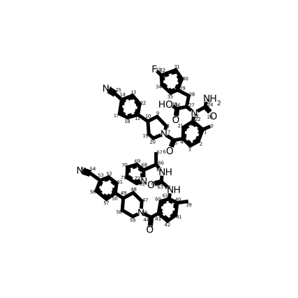 Cc1ccc(C(=O)N2CCC(c3ccc(C#N)cc3)CC2)cc1N(C(N)=O)C(Cc1ccc(F)cc1)C(=O)O.Cc1ccc(C(=O)N2CCC(c3ccc(C#N)cc3)CC2)cc1NC(=O)NC(C)c1ccccn1